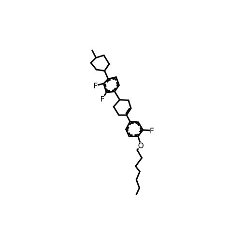 CCCCCCCOc1ccc(C2=CCC(c3ccc(C4CCC(C)CC4)c(F)c3F)CC2)cc1F